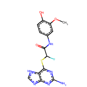 COc1cc(NC(=O)C(F)Sc2nc(N)nc3nc[nH]c23)ccc1O